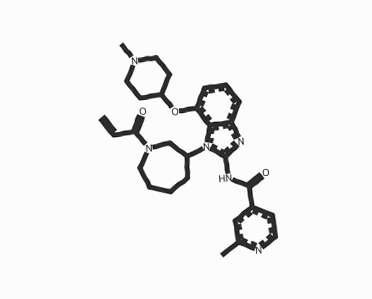 C=CC(=O)N1CCCCC(n2c(NC(=O)c3ccnc(C)c3)nc3cccc(OC4CCN(C)CC4)c32)C1